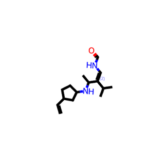 C=CC1CCC(NC(C)/C(=C\NC=O)C(C)C)C1